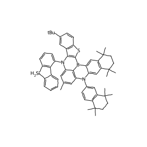 Cc1cc2c3c(c1)N(c1cccc4c1-c1ccccc1[SiH2]4)c1c(sc4ccc(C(C)(C)C)cc14)B3c1cc3c(cc1N2c1ccc2c(c1)C(C)(C)CCC2(C)C)C(C)(C)CCC3(C)C